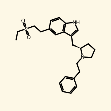 CCS(=O)(=O)CCc1ccc2[nH]cc(C[C@H]3CCCN3CCc3ccccc3)c2c1